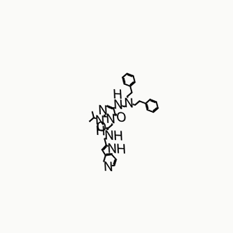 CC(C)Nc1ncc(NCN(CCc2ccccc2)CCc2ccccc2)c(=O)n1CC(=O)NCc1cc2cnccc2[nH]1